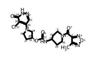 Cc1nonc1C(=O)N1CCC(NC(=O)O[C@@H]2CCN(c3cn[nH]c(=O)c3Cl)C2)CC1